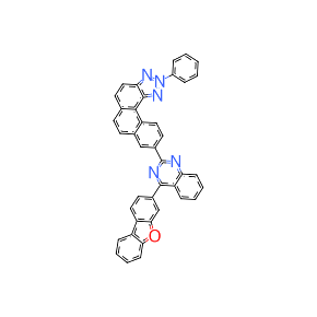 c1ccc(-n2nc3ccc4ccc5cc(-c6nc(-c7ccc8c(c7)oc7ccccc78)c7ccccc7n6)ccc5c4c3n2)cc1